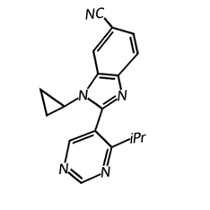 CC(C)c1ncncc1-c1nc2ccc(C#N)cc2n1C1CC1